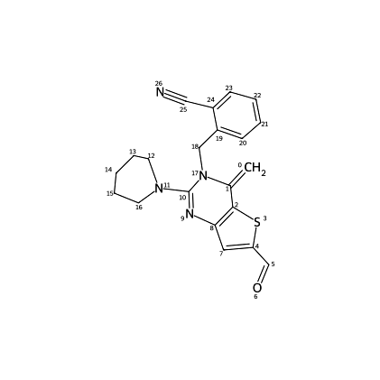 C=C1c2sc(C=O)cc2N=C(N2CCCCC2)N1Cc1ccccc1C#N